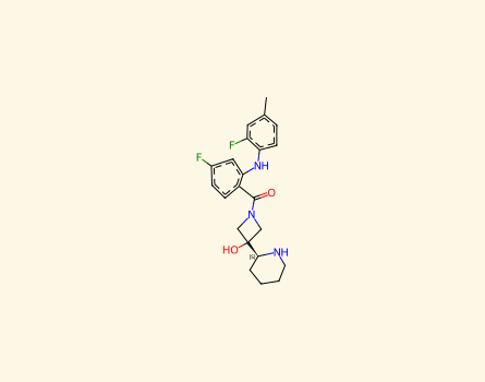 Cc1ccc(Nc2cc(F)ccc2C(=O)N2CC(O)([C@@H]3CCCCN3)C2)c(F)c1